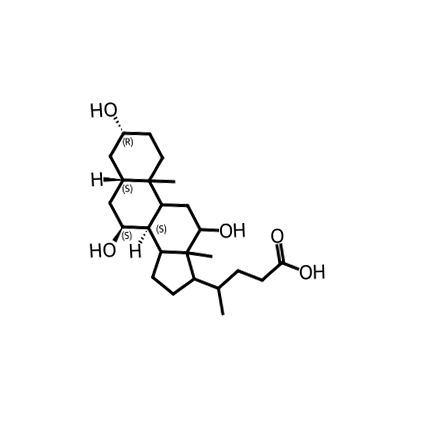 CC(CCC(=O)O)C1CCC2[C@@H]3C(CC(O)C12C)C1(C)CC[C@@H](O)C[C@H]1C[C@@H]3O